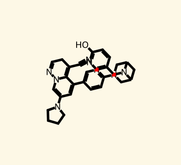 N#CC1=C2C(c3ccc(N4CC5CC(C4)N5Cc4ccc(O)nc4)nc3)=CC(N3CCCC3)=CN2N=CC1